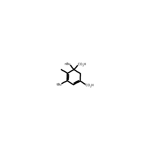 CCCCC1(C(=O)O)CC(C(=O)O)=CC(C(C)(C)C)=C1C